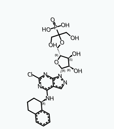 O=P(O)(O)C(CO)(CO)OC[C@H]1O[C@@H](n2ncc3c(N[C@@H]4CCCc5ccccc54)nc(Cl)nc32)[C@H](O)[C@@H]1O